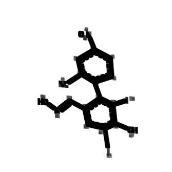 N#Cc1cc([N+](=O)[O-])ccc1-c1c(C=NO)cc(I)c(O)c1I